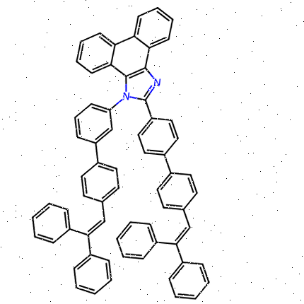 C(=C(c1ccccc1)c1ccccc1)c1ccc(-c2ccc(-c3nc4c5ccccc5c5ccccc5c4n3-c3cccc(-c4ccc(C=C(c5ccccc5)c5ccccc5)cc4)c3)cc2)cc1